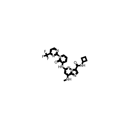 CNc1cc(Nc2cccn(-c3nccc(C(F)(F)F)n3)c2=O)nn2c(C(=O)NC3CCC3)cnc12